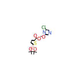 CC1(C)OB(c2ccc(C(=O)OCOc3cncc(Cl)n3)s2)OC1(C)C